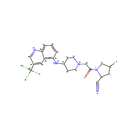 N#CC1C[C@H](F)CN1C(=O)CN1CCC(Nc2cccc3ncc(C(F)(F)F)cc23)CC1